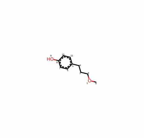 COCCCc1ccc(O)cc1